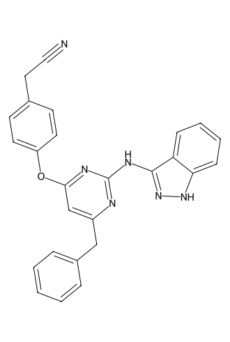 N#CCc1ccc(Oc2cc(Cc3ccccc3)nc(Nc3n[nH]c4ccccc34)n2)cc1